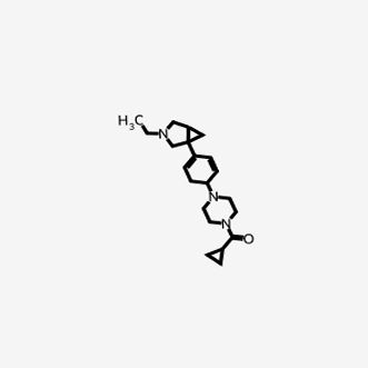 CCN1CC2CC2(C2=CCC(N3CCN(C(=O)C4CC4)CC3)C=C2)C1